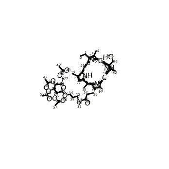 CCC1=C(C)c2cc3[nH]c(cc4nc(c(C)c5cc(C)c(cc1n2)[nH]5)[C@@H](CCC(=O)N(C)CCCO[C@@H]1O[C@H](COC(C)=O)[C@@H](OC(C)=O)[C@H](OC(C)=O)[C@H]1OC(C)=O)[C@@H]4C)c(C)c3CO